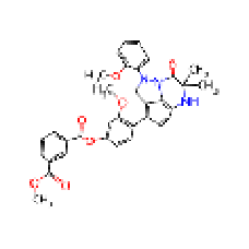 COC(=O)c1cccc(C(=O)Oc2ccc(-c3ccc4c5c3CN(c3ccccc3OC)N5C(=O)C(C)(C)N4)c(OC)c2)c1